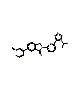 C=N/C=C(\C=C/C)c1ccc2c(c1)C(=O)N(c1cccc(-c3nncn3C(C)C)n1)C2